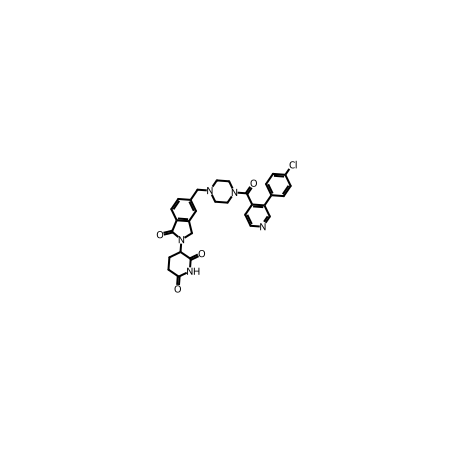 O=C1CCC(N2Cc3cc(CN4CCN(C(=O)c5ccncc5-c5ccc(Cl)cc5)CC4)ccc3C2=O)C(=O)N1